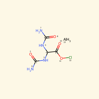 NC(=O)NC(NC(N)=O)C(=O)OCl.[AlH3]